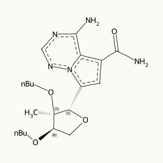 CCCCO[C@@H]1CO[C@@H](c2cc(C(N)=O)c3c(N)ncnn23)[C@]1(C)OCCCC